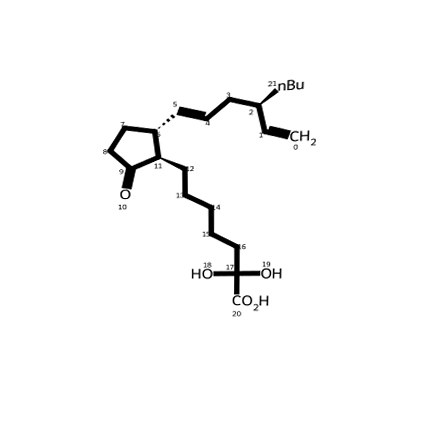 C=C[C@@H](CC=C[C@H]1CCC(=O)[C@@H]1CCCCCC(O)(O)C(=O)O)CCCC